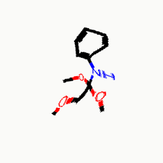 CO[CH]C(Nc1ccccc1)(OC)OC